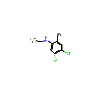 CC(C)(C)c1cc(Cl)c(Cl)cc1NCC(F)(F)F